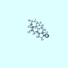 CC1CC(C)C2(C)C3C(C)CC4(C)C(=O)CCC4C3CC(C)C2(C)C1